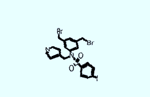 O=S(=O)(c1ccc(I)cc1)N(Cc1ccncc1)c1cc(CBr)cc(CBr)c1